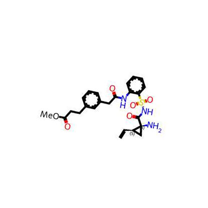 C=C[C@@H]1C[C@@]1(N)C(=O)NS(=O)(=O)c1ccccc1NC(=O)Cc1cccc(CCC(=O)OC)c1